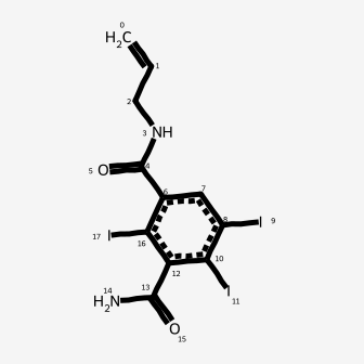 C=CCNC(=O)c1cc(I)c(I)c(C(N)=O)c1I